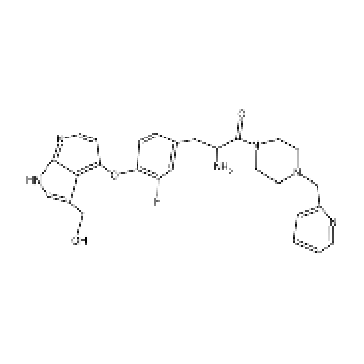 NC(Cc1ccc(Oc2ccnc3[nH]cc(CO)c23)c(F)c1)C(=O)N1CCN(Cc2ccccn2)CC1